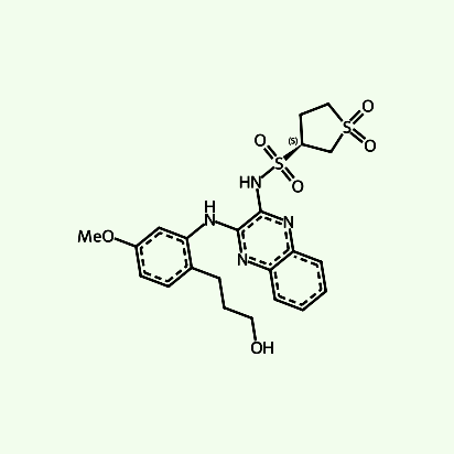 COc1ccc(CCCO)c(Nc2nc3ccccc3nc2NS(=O)(=O)[C@H]2CCS(=O)(=O)C2)c1